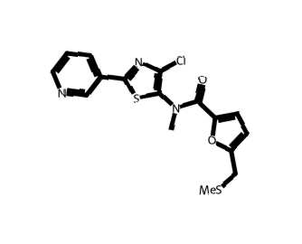 CSCc1ccc(C(=O)N(C)c2sc(-c3cccnc3)nc2Cl)o1